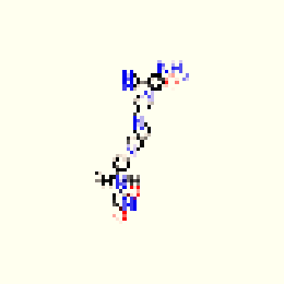 [2H]C1c2ccc(N3CCC4(CCCN(CC5CCN(c6cc(OC)c(N)cc6-c6cnn(C)c6)CC5)C4)CC3)cc2C([2H])N1C1CCC(=O)NC1=O